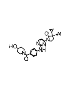 N#C[C@@]1(C2CC2)CCN(c2ccnc(Nc3ccc(C(=O)N4CCC(O)CC4)cc3)n2)C1=O